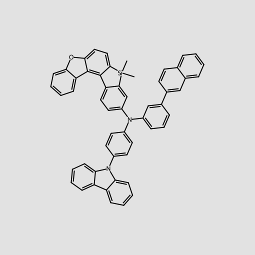 C[Si]1(C)c2cc(N(c3ccc(-n4c5ccccc5c5ccccc54)cc3)c3cccc(-c4ccc5ccccc5c4)c3)ccc2-c2c1ccc1oc3ccccc3c21